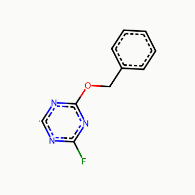 Fc1n[c]nc(OCc2ccccc2)n1